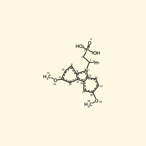 [2H]C(CP(=O)(O)O)n1c2ccc(OC)cc2c2cc(OC)ccc21